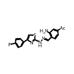 CC(=O)c1ccc(C=NNc2nc(-c3ccc(F)cc3)cs2)c(N)c1